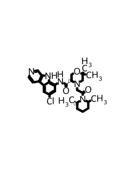 CC1CCC[C@H](C)N1C(=O)CN1CC(C)(C)OC[C@H]1C(=O)Nc1cc(Cl)cc2c1[nH]c1cnccc12